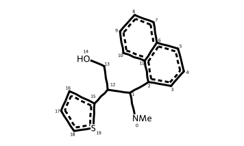 CNC(c1cccc2ccccc12)C(CO)c1cccs1